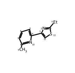 CCc1nc(-c2cccc(C)n2)cs1